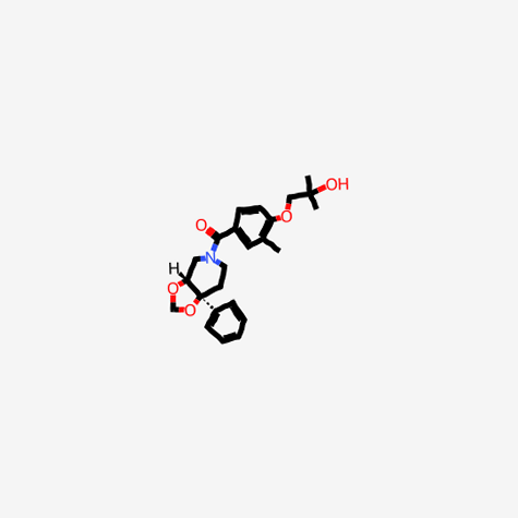 Cc1cc(C(=O)N2CC[C@@]3(c4ccccc4)OCO[C@@H]3C2)ccc1OCC(C)(C)O